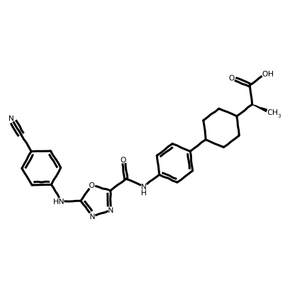 C[C@H](C(=O)O)C1CCC(c2ccc(NC(=O)c3nnc(Nc4ccc(C#N)cc4)o3)cc2)CC1